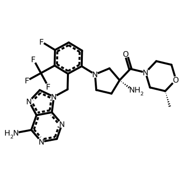 C[C@@H]1CN(C(=O)[C@@]2(N)CCN(c3ccc(F)c(C(F)(F)F)c3Cn3cnc4c(N)ncnc43)C2)CCO1